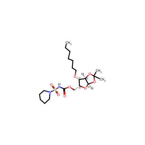 CCCCCCCO[C@@H]1[C@H]2OC(C)(C)O[C@H]2O[C@@H]1COC(=O)NS(=O)(=O)N1CCCCC1